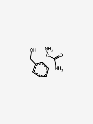 NOC(N)=O.OCc1ccccc1